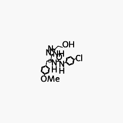 COc1ccc(C[C@H](NC(=O)Nc2ccc(Cl)cc2)c2nnc(CCO)[nH]2)cc1